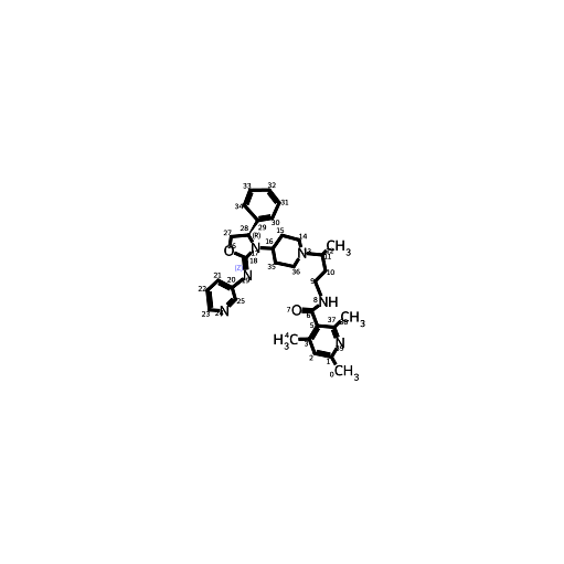 Cc1cc(C)c(C(=O)NCCC(C)N2CCC(N3/C(=N/c4cccnc4)OC[C@H]3c3ccccc3)CC2)c(C)n1